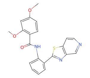 COc1ccc(C(=O)Nc2ccccc2-c2nc3cnccc3s2)c(OC)c1